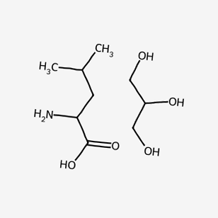 CC(C)CC(N)C(=O)O.OCC(O)CO